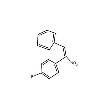 O=[N+]([O-])C(=Cc1ccccc1)c1ccc(F)cc1